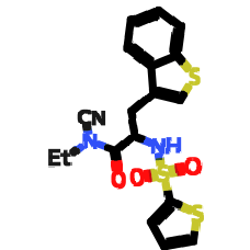 CCN(C#N)C(=O)C(Cc1csc2ccccc12)NS(=O)(=O)c1cccs1